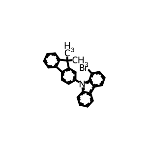 CC1(C)c2ccccc2-c2ccc(-n3c4ccccc4c4cccc(Br)c43)cc21